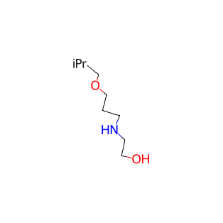 CC(C)COCCCNCCO